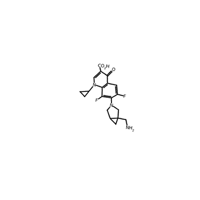 NCC12CC1CN(c1c(F)cc3c(=O)c(C(=O)O)cn(C4CC4)c3c1F)C2